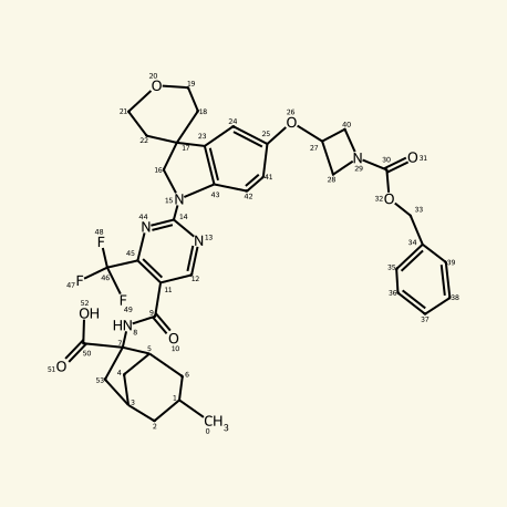 CC1CC2CC(C1)C(NC(=O)c1cnc(N3CC4(CCOCC4)c4cc(OC5CN(C(=O)OCc6ccccc6)C5)ccc43)nc1C(F)(F)F)(C(=O)O)C2